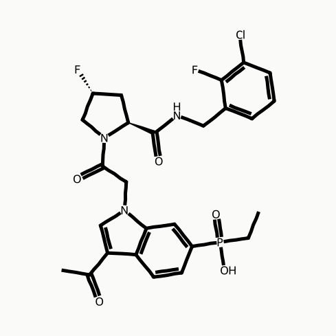 CCP(=O)(O)c1ccc2c(C(C)=O)cn(CC(=O)N3C[C@H](F)C[C@H]3C(=O)NCc3cccc(Cl)c3F)c2c1